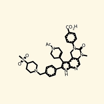 CC(=O)N1CC=C(c2c(-c3ccc(CN4CCC(S(C)(=O)=O)CC4)cc3)[nH]c3ncc4c(c23)CN(c2ccc(C(=O)O)cc2)C(=O)N4C)CC1